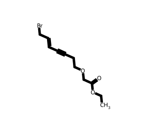 CCOC(=O)COCCC#C/C=C/CBr